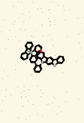 O=S12(c3ccccc3-c3ccccc31)c1ccccc1-c1cc(-c3ccccc3-n3c4ccccc4c4cc5c(cc43)oc3ccccc35)ccc12